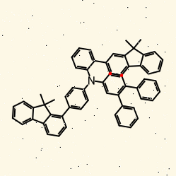 CC1(C)c2ccccc2-c2ccc(-c3ccccc3N(c3ccc(-c4cccc5c4C(C)(C)c4ccccc4-5)cc3)c3ccc(-c4ccccc4)c(-c4ccccc4)c3)cc21